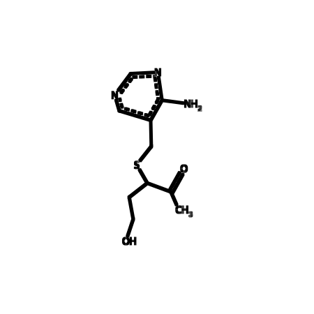 CC(=O)C(CCO)SCc1cncnc1N